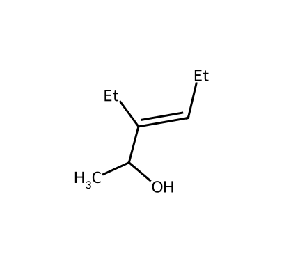 CC/C=C(\CC)C(C)O